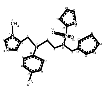 Cn1cncc1CN(CCN(Cc1ccccc1)S(=O)(=O)c1cccs1)c1ccc(C#N)cc1